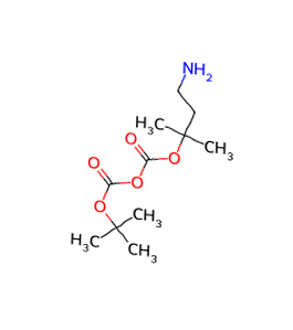 CC(C)(C)OC(=O)OC(=O)OC(C)(C)CCN